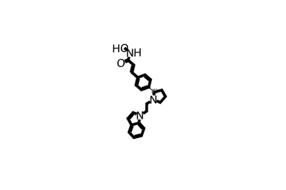 O=C(C=Cc1ccc([C@@H]2CCCN2CCn2ccc3ccccc32)cc1)NO